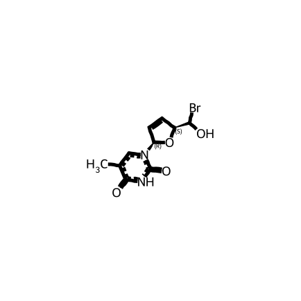 Cc1cn([C@H]2C=C[C@@H](C(O)Br)O2)c(=O)[nH]c1=O